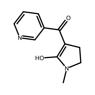 CN1CCC(C(=O)c2cccnc2)=C1O